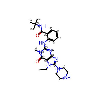 CCn1c(N2CCNCC2)nc2nc(Nc3ccccc3C(=O)NC(C)(C)C)n(C)c(=O)c21